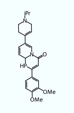 COc1ccc(C2=CC(=O)N3C=C(C4=CCN(C(C)C)CC4)C=CC3P2)cc1OC